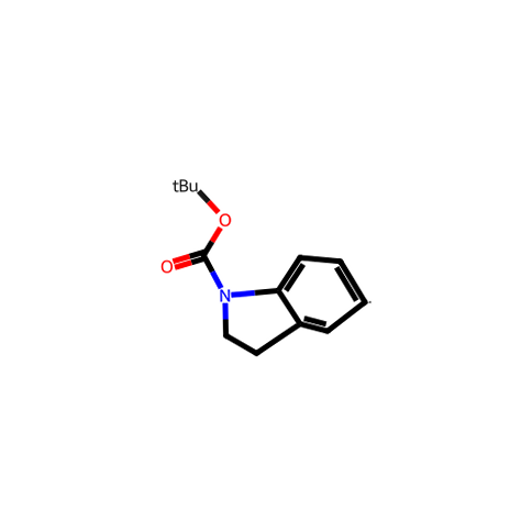 CC(C)(C)OC(=O)N1CCc2c[c]ccc21